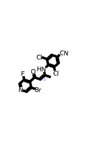 C/C(=C/C(=O)c1c(F)cncc1Br)Nc1c(Cl)cc(C#N)cc1Cl